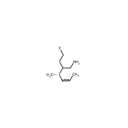 C/C=C\[C@H](C)C(CN)CCF